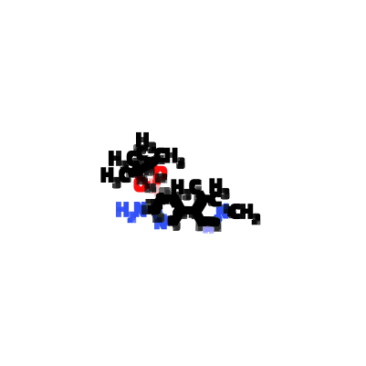 C=N/C=C\C(=C(C)C)c1cnc(N)c(B2OC(C)(C)C(C)(C)O2)c1